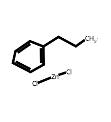 [CH2]CCc1ccccc1.[Cl][Zn][Cl]